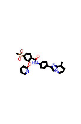 Cc1cccn2cc(-c3ccc(NC(=O)c4ccc(S(C)(=O)=O)cc4Oc4ccccn4)cc3)nc12